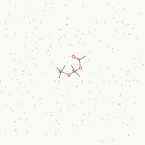 CC(=O)O[Si](C)(C)O[Si](C)(C)C